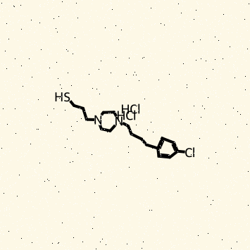 Cl.Cl.SCCCN1CCN(CCCCc2ccc(Cl)cc2)CC1